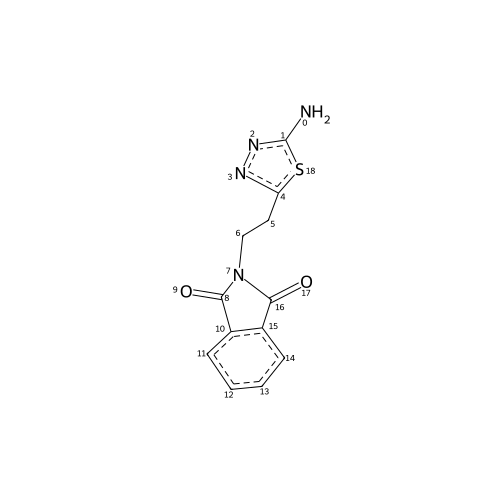 Nc1nnc(CCN2C(=O)c3ccccc3C2=O)s1